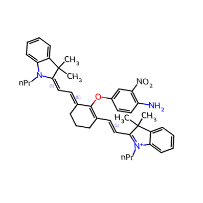 CCCN1/C(=C/C=C2\CCCC(/C=C/C3=[N+](CCC)c4ccccc4C3(C)C)=C2Oc2ccc(N)c([N+](=O)[O-])c2)C(C)(C)c2ccccc21